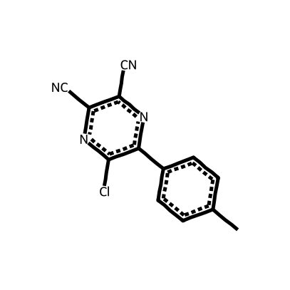 Cc1ccc(-c2nc(C#N)c(C#N)nc2Cl)cc1